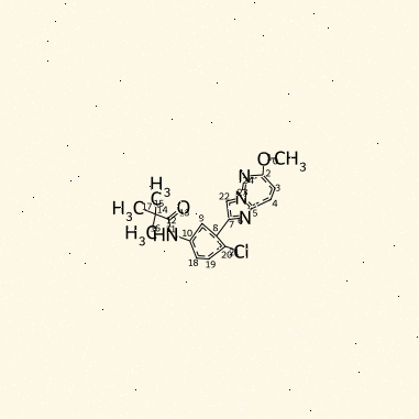 COc1ccc2nc(-c3cc(NC(=O)C(C)(C)C)ccc3Cl)cn2n1